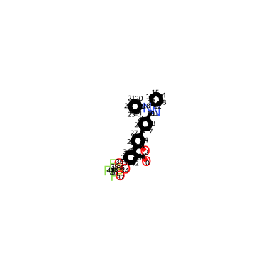 O=c1oc2cc(-c3ccc(-c4nc5ccccc5n4-c4ccccc4)cc3)ccc2c2ccc(OS(=O)(=O)C(F)(F)F)cc12